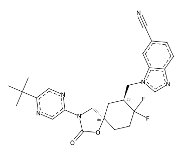 CC(C)(C)c1cnc(N2C[C@]3(CCC(F)(F)[C@H](Cn4cnc5ccc(C#N)cc54)C3)OC2=O)cn1